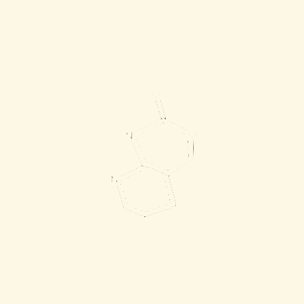 O=c1nc2ncccc2co1